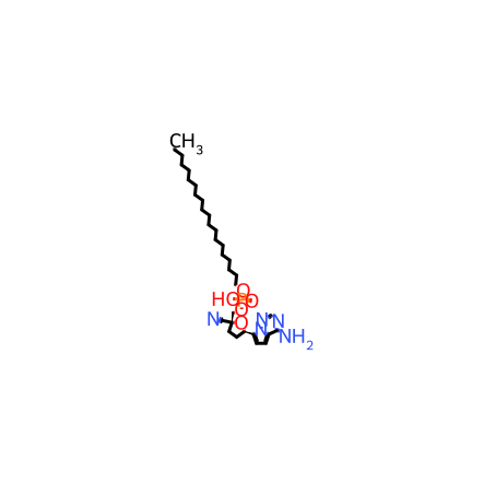 CCCCCCCCCCCCCCCCCCCCOP(=O)(O)OC[C@]1(C#N)CC[C@H](c2ccc3c(N)ncnn23)O1